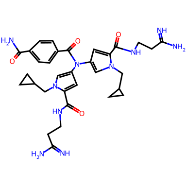 N=C(N)CCNC(=O)c1cc(N(C(=O)c2ccc(C(N)=O)cc2)c2cc(C(=O)NCCC(=N)N)n(CC3CC3)c2)cn1CC1CC1